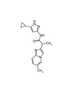 Cc1ccc2nc(C(C)C(=O)Nc3cc(C4CC4)[nH]n3)cn2c1